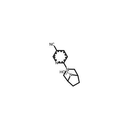 N#Cc1ccc(N2CC3CCC(C2)N3C(=O)O)nc1